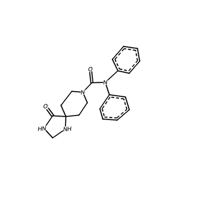 O=C(N1CCC2(CC1)NCNC2=O)N(c1ccccc1)c1ccccc1